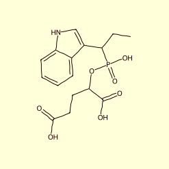 CCC(c1c[nH]c2ccccc12)P(=O)(O)OC(CCC(=O)O)C(=O)O